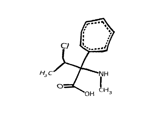 CNC(C(=O)O)(c1ccccc1)C(C)Cl